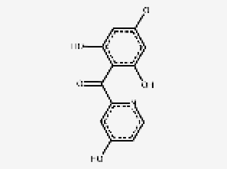 O=C(c1cc(O)ccn1)c1c(O)cc(O)cc1O